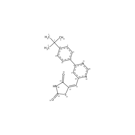 CC(C)(C)c1ccc(-c2cc(C=C3SC(=O)NC3=O)ncn2)cc1